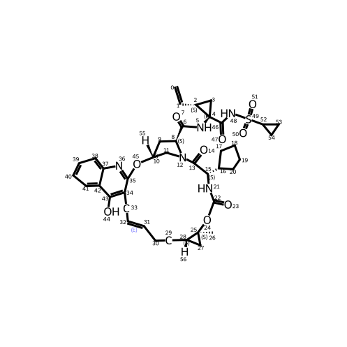 C=C[C@@H]1C[C@]1(NC(=O)[C@@H]1C[C@@H]2CN1C(=O)[C@H](C1CCCC1)NC(=O)O[C@@]1(C)C[C@@H]1CC/C=C/Cc1c(nc3ccccc3c1O)O2)C(=O)NS(=O)(=O)C1CC1